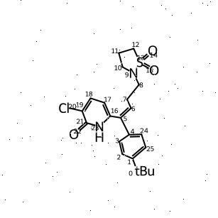 CC(C)(C)c1ccc(C(=CCCN2CCCS2(=O)=O)c2ccc(Cl)c(=O)[nH]2)cc1